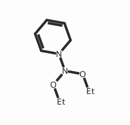 CCON(OCC)N1C=CC=CC1